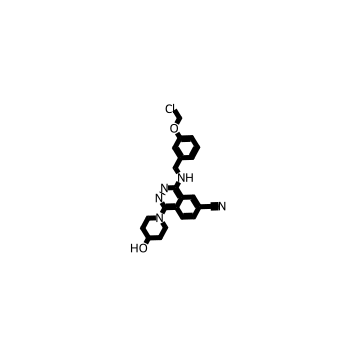 N#Cc1ccc2c(N3CCC(O)CC3)nnc(NCc3cccc(OCCl)c3)c2c1